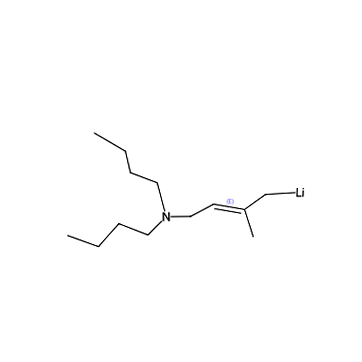 [Li][CH2]/C(C)=C/CN(CCCC)CCCC